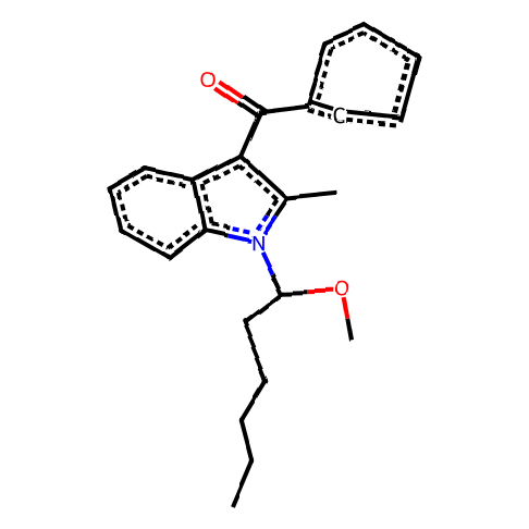 CCCCCC(OC)n1c(C)c(C(=O)c2ccccc2)c2ccccc21